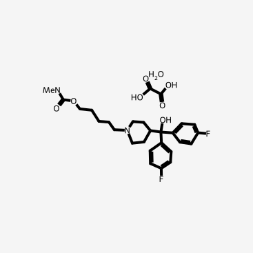 CNC(=O)OCCCCCN1CCC(C(O)(c2ccc(F)cc2)c2ccc(F)cc2)CC1.O.O=C(O)C(=O)O